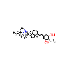 C=C1[C@H](O)CC(=C/C=C2\CCC[C@]3(C)[C@@H](C(C)CN4CCCC(C)(OC)C4)CC[C@@H]23)C[C@H]1O